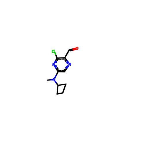 CN(c1cnc(C=O)c(Cl)n1)C1CCC1